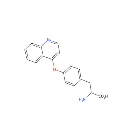 NC(Cc1ccc(Oc2ccnc3ccccc23)cc1)C(=O)O